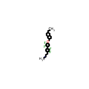 C/C=C/CCc1ccc(-c2ccc(OCC3CCC4CC(CCC)CCC4C3)c(F)c2F)c(F)c1F